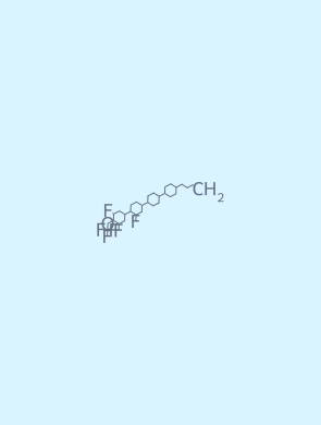 C=CCCC1CCC(C2CCC(C3CCC(C4CC(F)C(OC(F)(F)F)C(F)C4)C(F)C3)CC2)CC1